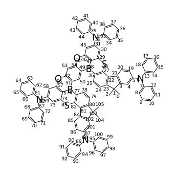 CC1(C)c2cc(N(c3ccccc3)c3ccccc3)ccc2-c2c1ccc1c2Sc2cc(N(c3ccccc3)c3ccccc3)cc3c2B1c1cc2c(cc1O3)Oc1cc(N(c3ccccc3)c3ccccc3)cc3c1B2c1ccc2c(c1S3)-c1ccc(N(c3ccccc3)c3ccccc3)cc1C2(C)C